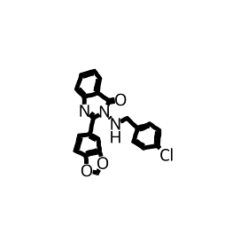 O=c1c2ccccc2nc(-c2ccc3c(c2)OCO3)n1NCc1ccc(Cl)cc1